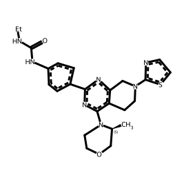 CCNC(=O)Nc1ccc(-c2nc3c(c(N4CCOC[C@@H]4C)n2)CCN(c2nccs2)C3)cc1